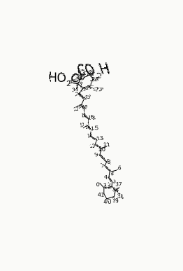 CC1=C(/C=C/C(C)=C/C=C/C(C)=C/C=C/C=C(C)/C=C/C=C(C)/C=C/C2=C(C)CCC(C(=O)O)(C(=O)O)C2(C)C)C(C)(C)CCC1